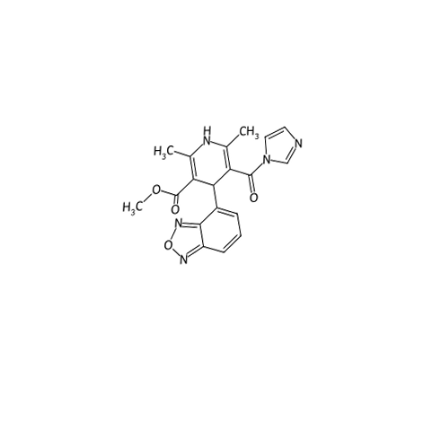 COC(=O)C1=C(C)NC(C)=C(C(=O)n2ccnc2)C1c1cccc2nonc12